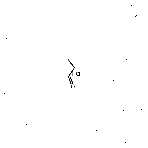 CCC=O.Cl